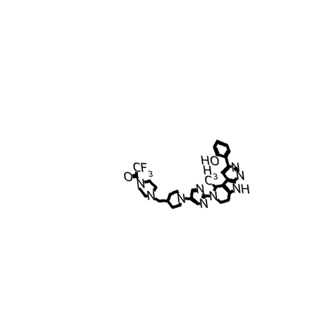 CC1c2c([nH]c3nnc(-c4ccccc4O)cc23)CCN1c1ncc(N2CCC(CN3CCN(C(=O)C(F)(F)F)CC3)CC2)cn1